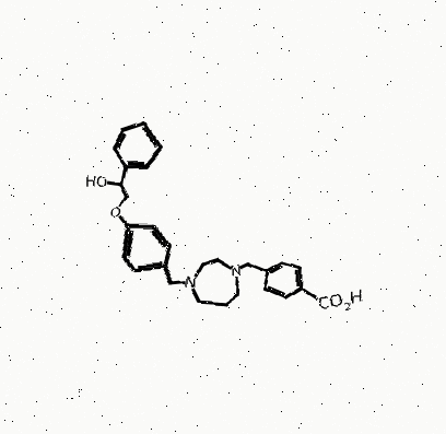 O=C(O)c1ccc(CN2CCCN(Cc3ccc(OCC(O)c4ccccc4)cc3)CC2)cc1